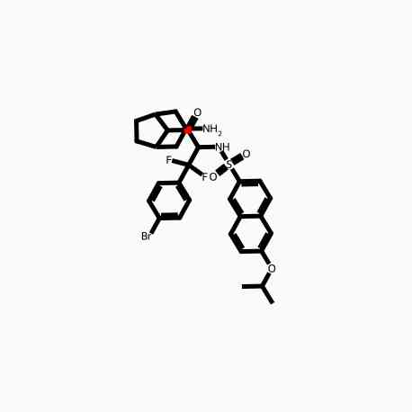 CC(C)Oc1ccc2cc(S(=O)(=O)NC(C(=O)C3C4CCC3CC(N)C4)C(F)(F)c3ccc(Br)cc3)ccc2c1